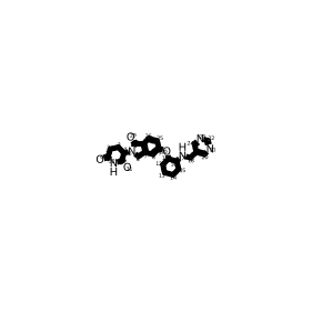 O=C1CCC(N2Cc3cc(OC4CCCCC4NCc4cncnc4)ccc3C2=O)C(=O)N1